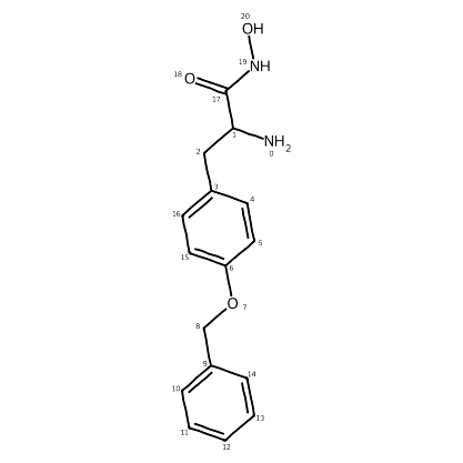 NC(Cc1ccc(OCc2ccccc2)cc1)C(=O)NO